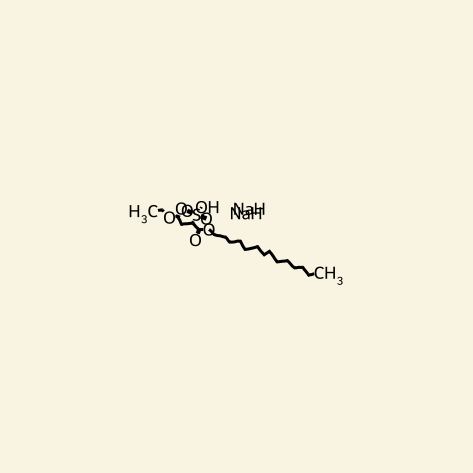 CCCCCCCCCCCCCCOC(=O)C(CC(=O)OCC)S(=O)(=O)O.[NaH].[NaH]